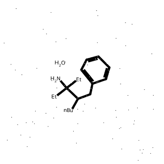 CCCCC(Cc1ccccc1)C(N)(CC)CC.O